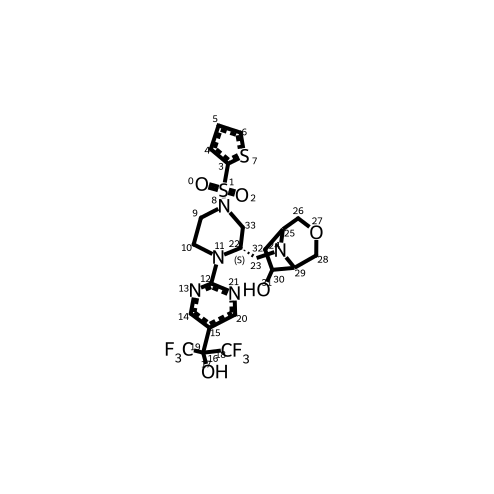 O=S(=O)(c1cccs1)N1CCN(c2ncc(C(O)(C(F)(F)F)C(F)(F)F)cn2)[C@@H](CN2C3COCC2C(O)C3)C1